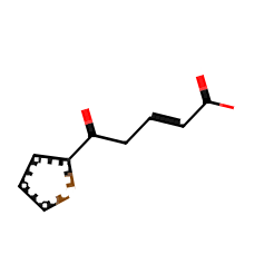 O=C(O)C=CCC(=O)c1cccs1